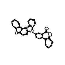 O=c1oc2ccccc2c2ccc(-n3c4ccccc4c4c5c(ccc43)oc3ccccc35)cc12